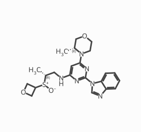 C[C@@H]1COCCN1c1cc(NC[C@@H](C)[S+]([O-])C2COC2)nc(-n2cnc3ccccc32)n1